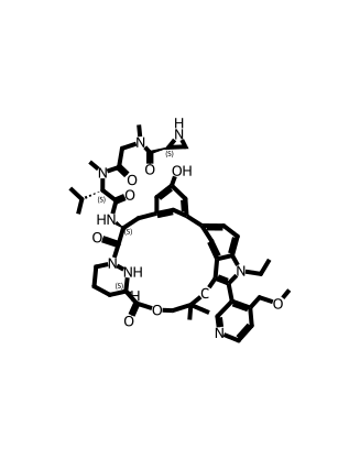 CCn1c(-c2cnccc2COC)c2c3cc(ccc31)-c1cc(O)cc(c1)C[C@H](NC(=O)[C@H](C(C)C)N(C)C(=O)CN(C)C(=O)[C@@H]1CN1)C(=O)N1CCC[C@H](N1)C(=O)OCC(C)(C)C2